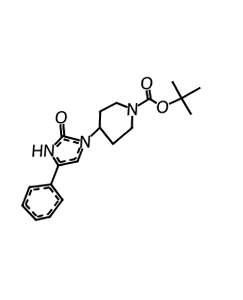 CC(C)(C)OC(=O)N1CCC(n2cc(-c3ccccc3)[nH]c2=O)CC1